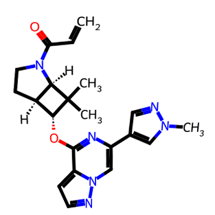 C=CC(=O)N1CC[C@@H]2[C@@H](Oc3nc(-c4cnn(C)c4)cn4nccc34)C(C)(C)[C@@H]21